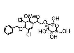 COc1c(C(=O)CO[C@@H]2[C@@H](O)[C@@H](O)[C@@H](CO)O[C@@H]2O)cc(Cl)c(OCc2ccccc2)c1Cl